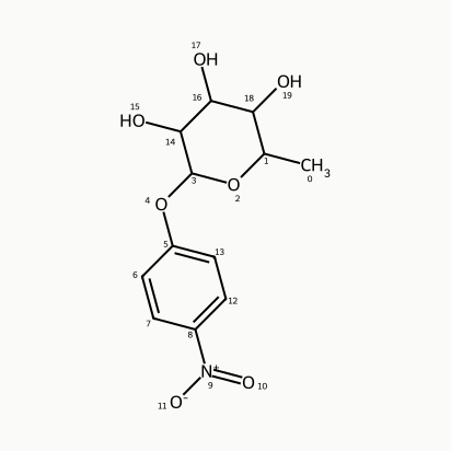 CC1OC(Oc2ccc([N+](=O)[O-])cc2)C(O)C(O)C1O